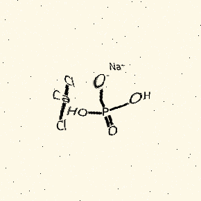 O=P([O-])(O)O.[Cl][Ca][Cl].[Na+]